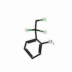 FC(F)(F)c1ccccc1C(Cl)(Cl)CCl